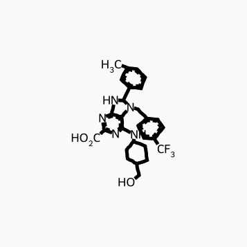 Cc1cccc(C2Nc3nc(C(=O)O)nc(NC4CCC(CO)CC4)c3N2Cc2ccc(C(F)(F)F)cc2)c1